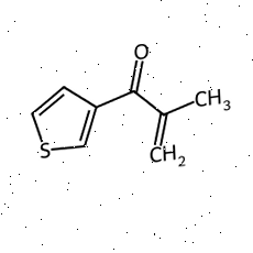 C=C(C)C(=O)c1ccsc1